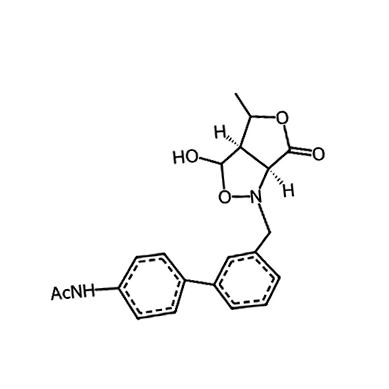 CC(=O)Nc1ccc(-c2cccc(CN3OC(O)[C@H]4C(C)OC(=O)[C@H]43)c2)cc1